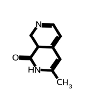 CC1=CC2=CC=NCC2C(=O)N1